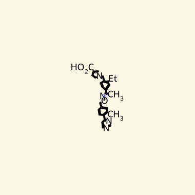 CCc1cc(/C(C)=N/OCc2ccc(-c3ccncn3)c(C)c2)ccc1CN1CC[C@H](C(=O)O)C1